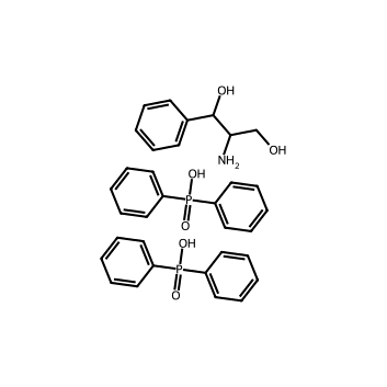 NC(CO)C(O)c1ccccc1.O=P(O)(c1ccccc1)c1ccccc1.O=P(O)(c1ccccc1)c1ccccc1